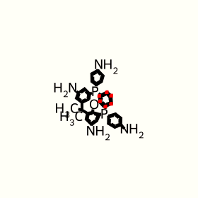 CC1(C)c2cc(N)cc(P(c3ccccc3)c3ccc(N)cc3)c2Oc2c(P(c3ccccc3)c3ccc(N)cc3)cc(N)cc21